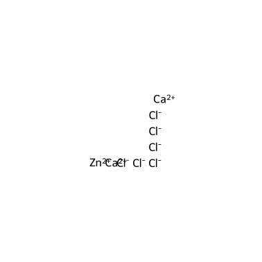 [Ca+2].[Ca+2].[Cl-].[Cl-].[Cl-].[Cl-].[Cl-].[Cl-].[Zn+2]